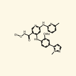 CCONC(=O)c1cnc(Nc2cccc(C)n2)cc1Nc1ccc(-c2ccnn2C)cc1OC